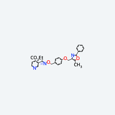 CCOC(=O)/C(=N\OCc1ccc(OCc2nc(-c3ccccc3)oc2C)cc1)c1cccnc1